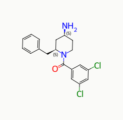 N[C@H]1CCN(C(=O)c2cc(Cl)cc(Cl)c2)[C@@H](Cc2ccccc2)C1